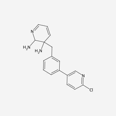 NC1N=CC=CC1(N)Cc1cccc(-c2ccc(Cl)nc2)c1